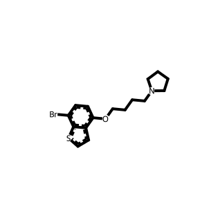 Brc1ccc(OCCCCN2CCCC2)c2ccsc12